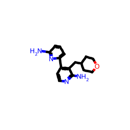 Nc1cccc(-c2ccnc(N)c2CC2CCOCC2)n1